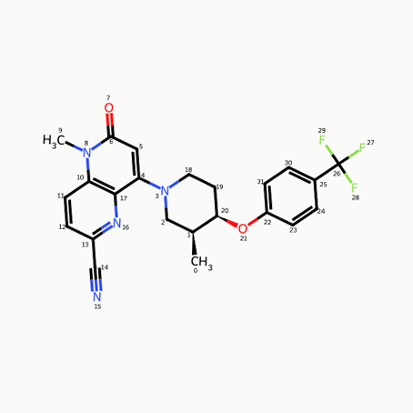 C[C@H]1CN(c2cc(=O)n(C)c3ccc(C#N)nc23)CC[C@H]1Oc1ccc(C(F)(F)F)cc1